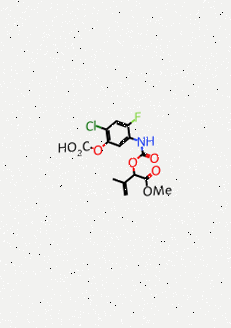 C=C(C)C(OC(=O)Nc1cc(OC(=O)O)c(Cl)cc1F)C(=O)OC